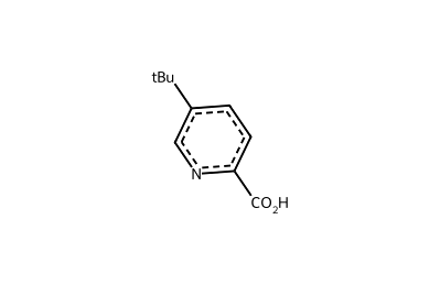 CC(C)(C)c1ccc(C(=O)O)nc1